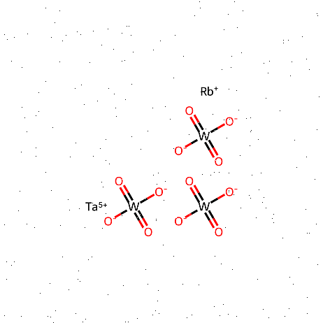 [O]=[W](=[O])([O-])[O-].[O]=[W](=[O])([O-])[O-].[O]=[W](=[O])([O-])[O-].[Rb+].[Ta+5]